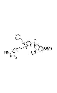 COc1cccc(CN(CCN)C(=O)c2ccc3c(c2)nc(CCc2ccc(C(=N)N)cc2)n3CCC2CCCCC2)c1